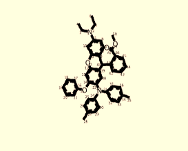 CCN(CC)c1ccc2c(c1)Oc1cc(Oc3ccccc3)c(N(c3ccc(C)cc3)c3ccc(C)cc3)cc1C2c1ccccc1C(=O)OC